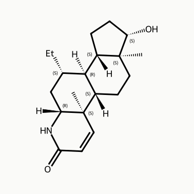 CC[C@H]1C[C@H]2NC(=O)C=C[C@]2(C)[C@H]2CC[C@]3(C)[C@@H](O)CC[C@H]3[C@H]12